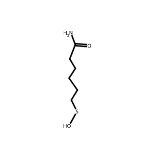 NC(=O)CCCCCSO